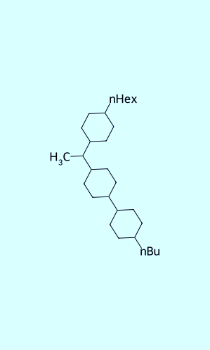 CCCCCCC1CCC(C(C)C2CCC(C3CCC(CCCC)CC3)CC2)CC1